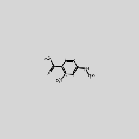 COC(=O)c1ccc(NC=O)cc1[N+](=O)[O-]